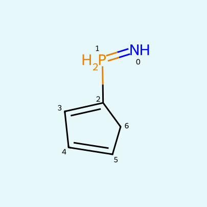 N=[PH2]C1=CC=CC1